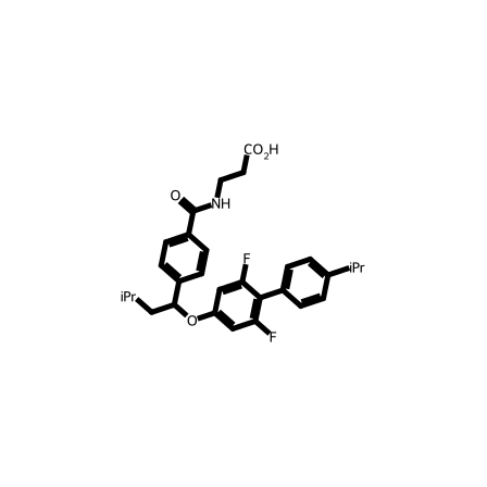 CC(C)CC(Oc1cc(F)c(-c2ccc(C(C)C)cc2)c(F)c1)c1ccc(C(=O)NCCC(=O)O)cc1